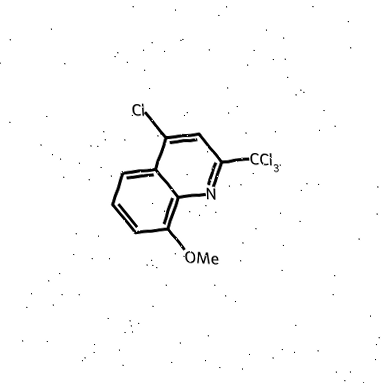 COc1cccc2c(Cl)cc(C(Cl)(Cl)Cl)nc12